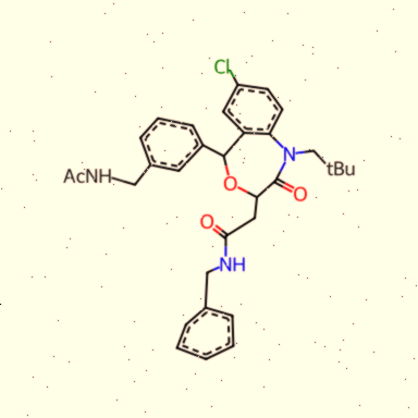 CC(=O)NCc1cccc(C2OC(CC(=O)NCc3ccccc3)C(=O)N(CC(C)(C)C)c3ccc(Cl)cc32)c1